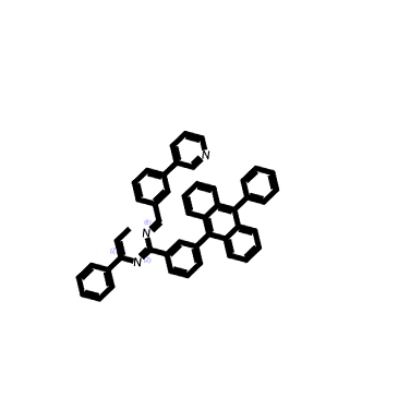 C\C=C(/N=C(\N=C\c1cccc(-c2cccnc2)c1)c1cccc(-c2c3ccccc3c(-c3ccccc3)c3ccccc23)c1)c1ccccc1